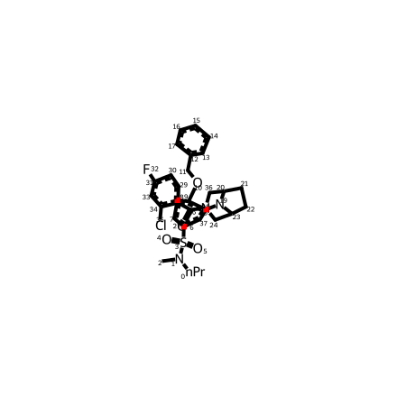 CCCN(C)S(=O)(=O)c1ccc(OCc2ccccc2)c(N2C3CCC2CN(C(=O)c2ccc(F)cc2Cl)C3)c1